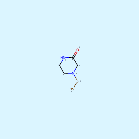 O=C1CN(SS)CCN1